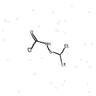 CCC(CC)SNC(=O)Cl